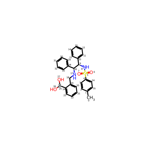 Cc1ccc(S(=O)(=O)N[C@H](c2ccccc2)[C@@H](NCc2ccccc2B(O)O)c2ccccc2)cc1